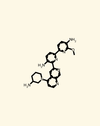 COc1nc(-c2ccc(N)c(-c3cc4c(N5CCCC(N)C5)ccnc4cn3)n2)ccc1N